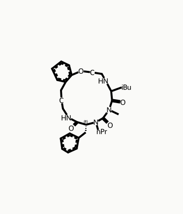 CCCN1C(=O)N(C)C(=O)C(C(C)CC)NCCOc2ccccc2CCCNC(=O)[C@H]1Cc1ccccc1